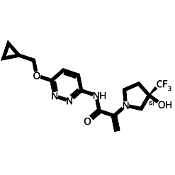 C=C(C(=O)Nc1ccc(OCC2CC2)nn1)N1CC[C@@](O)(C(F)(F)F)C1